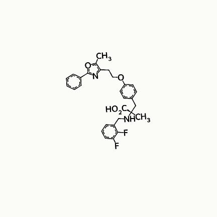 Cc1oc(-c2ccccc2)nc1CCOc1ccc(C[C@](C)(NCc2cccc(F)c2F)C(=O)O)cc1